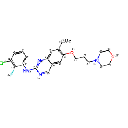 COc1cc2nc(Nc3cccc(Cl)c3F)ncc2cc1OCCCN1CCOCC1